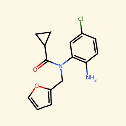 Nc1ccc(Cl)cc1N(Cc1ccco1)C(=O)C1CC1